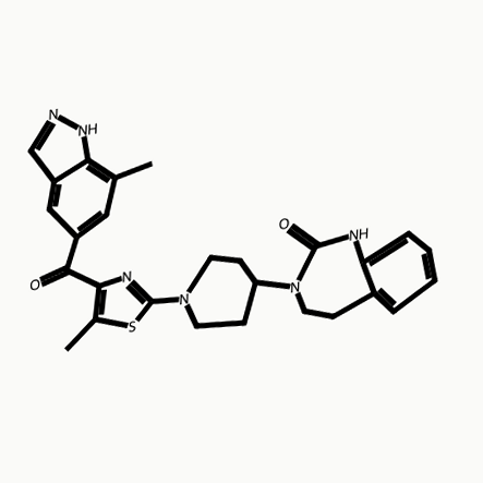 Cc1sc(N2CCC(N3CCc4ccccc4NC3=O)CC2)nc1C(=O)c1cc(C)c2[nH]ncc2c1